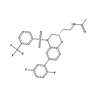 CC(=O)NCC[C@H]1CN(S(=O)(=O)c2cccc(C(F)(F)F)c2)c2cc(-c3cc(F)ccc3F)ccc2O1